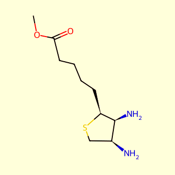 COC(=O)CCCC[C@@H]1SC[C@H](N)[C@@H]1N